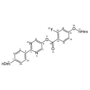 CCCCCCCCCCc1ccc(-c2ncc(OC(=O)c3ccc(OCCCCCC)cc3F)cn2)cc1